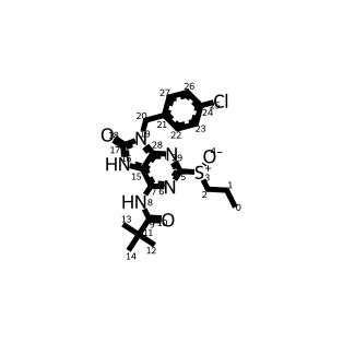 CCC[S+]([O-])c1nc(NC(=O)C(C)(C)C)c2[nH]c(=O)n(Cc3ccc(Cl)cc3)c2n1